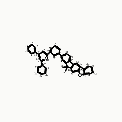 CC1(C)c2cc(-c3cccc(-c4cc(-c5ccccc5)cc(-c5ccccc5)n4)c3)ccc2-c2cc3c(cc21)oc1ccccc13